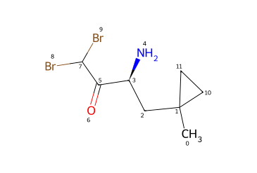 CC1(C[C@H](N)C(=O)C(Br)Br)CC1